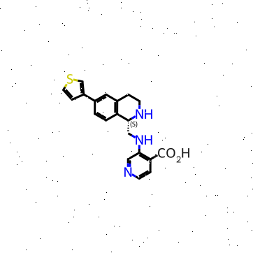 O=C(O)c1ccncc1NC[C@H]1NCCc2cc(-c3ccsc3)ccc21